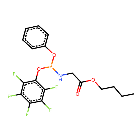 CCCCOC(=O)CNP(Oc1ccccc1)Oc1c(F)c(F)c(F)c(F)c1F